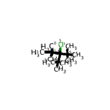 CC(C)(C)C(Cl)(C(C)(C)C)C(C)(C)C